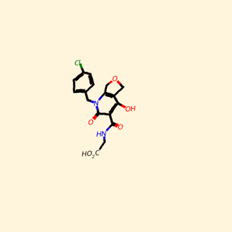 O=C(O)CNC(=O)c1c(O)c2c(n(Cc3ccc(Cl)cc3)c1=O)COC2